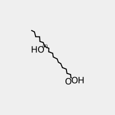 CCCCCC[C@@H](O)CCCCCCCCCCCC(=O)O